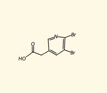 O=C(O)Cc1cnc(Br)c(Br)c1